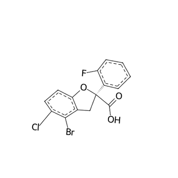 O=C(O)[C@@]1(c2ccccc2F)Cc2c(ccc(Cl)c2Br)O1